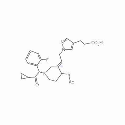 CCOC(=O)CCc1cnn(C/C=C2\CN(C(C(=O)C3CC3)c3ccccc3F)CCC2SC(C)=O)c1